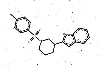 Cc1ccc(S(=O)(=O)N2CCCC(c3cc4ccccc4[nH]3)C2)cc1